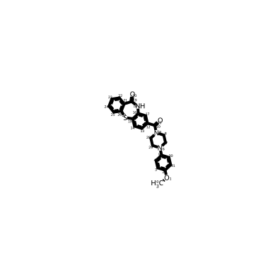 COc1ccc(N2CCN(C(=O)c3ccc4c(c3)NC(=O)c3ccccc3S4)CC2)cc1